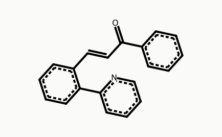 O=C(C=Cc1ccccc1-c1ccccn1)c1ccccc1